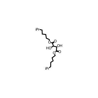 CC(C)CCCCCOC(=O)C(O)C(O)C(=O)OCCCCCC(C)C